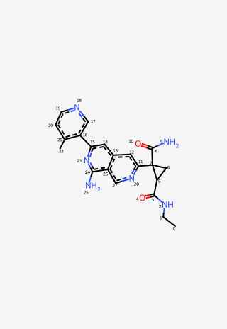 CCNC(=O)C1CC1(C(N)=O)c1cc2cc(-c3cnccc3C)nc(N)c2cn1